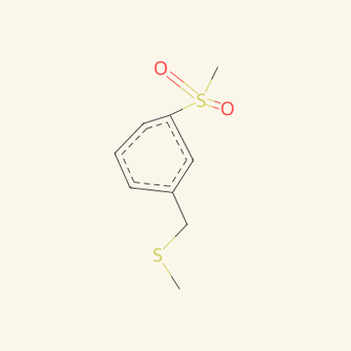 CSCc1cccc(S(C)(=O)=O)c1